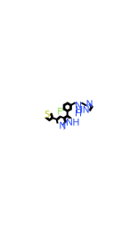 C=Nc1[nH]cc(-c2cc(CNCc3ncc[nH]3)ccc2F)c1/C=C(\C)c1ccsc1